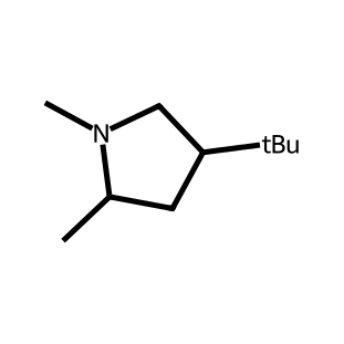 CC1CC(C(C)(C)C)CN1C